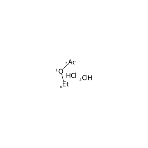 CCOC(C)=O.Cl.Cl